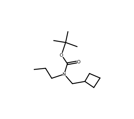 CCCN(CC1CCC1)C(=O)OC(C)(C)C